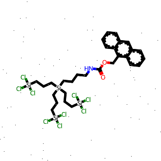 O=C(NCCCC[Si](CCC[Si](Cl)(Cl)Cl)(CCC[Si](Cl)(Cl)Cl)CCC[Si](Cl)(Cl)Cl)OCc1c2ccccc2cc2ccccc12